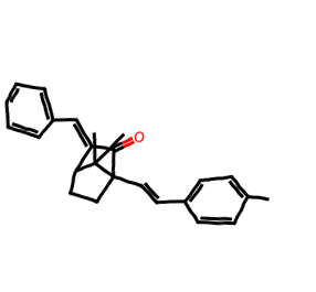 Cc1ccc(C=CC23CCC(C(=Cc4ccccc4)C2=O)C3(C)C)cc1